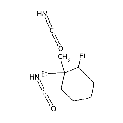 CCC1CCCCC1(C)CC.N=C=O.N=C=O